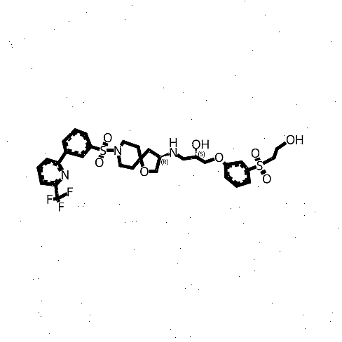 O=S(=O)(CCO)c1cccc(OC[C@@H](O)CN[C@H]2COC3(CCN(S(=O)(=O)c4cccc(-c5cccc(C(F)(F)F)n5)c4)CC3)C2)c1